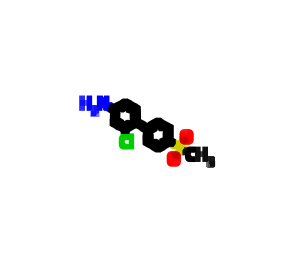 CS(=O)(=O)c1ccc(-c2ccc(N)cc2Cl)cc1